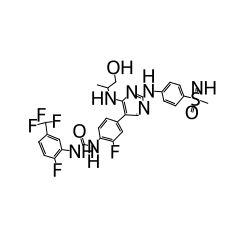 CC(CO)Nc1nc(Nc2ccc(S(C)(=N)=O)cc2)ncc1-c1ccc(NC(=O)Nc2cc(C(F)(F)F)ccc2F)c(F)c1